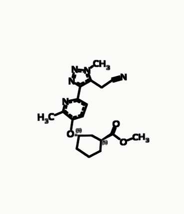 COC(=O)[C@H]1CCC[C@H](Oc2ccc(-c3nnn(C)c3CC#N)nc2C)C1